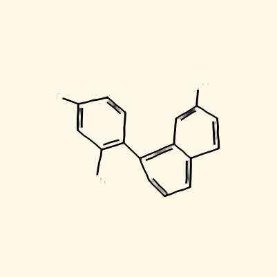 N#Cc1cc(F)ccc1-c1cccc2ccc(C(=O)O)cc12